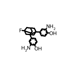 Nc1cc(C23CC4CC(F)(C2)CC(c2ccc(O)c(N)c2)(C4)C3)ccc1O